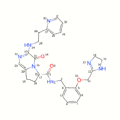 O=C(NCc1ccccc1OCC1=NCCN1)[C@@H]1CCc2cnc(NCCc3ccccn3)c(=O)n21